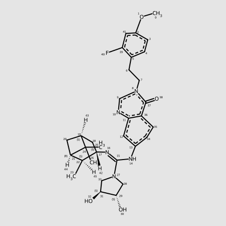 COc1ccc(CCn2cnc3cc(NC(=N[C@H]4C[C@@H]5C[C@H]([C@@H]4C)C5(C)C)N4C[C@H](O)[C@@H](O)C4)ccc3c2=O)c(F)c1